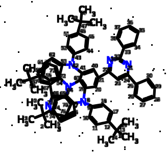 CC(C)(C)c1c#cc(N(c2ccc(C(C)(C)C)cc2)c2cc(-c3cc(-c4ccccc4)nc(-c4ccccc4)n3)cc(N(c3ccc(C(C)(C)C)cc3)c3ccc(C(C)(C)C)cc3)c2-n2c3c(c4ccccc42)N=CCC3)cc1